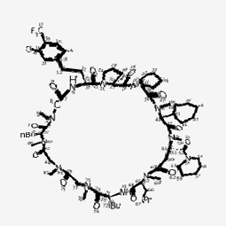 CCCC[C@H]1C(=O)N(C)CC(=O)N[C@@H](CCc2ccc(C(F)(F)F)c(Cl)c2)C(=O)N2CCC[C@H]2C(=O)NC2(CCCC2)C(=O)N(C)[C@@H](C2CCCCC2)C(=O)N(C)[C@H](C(=O)N2CCCCC2)CC(=O)N(C)[C@@H](CC(C)C)C(=O)N[C@@H]([C@@H](C)CC)C(=O)N(C)CC(=O)N(C)CC(=O)N1C